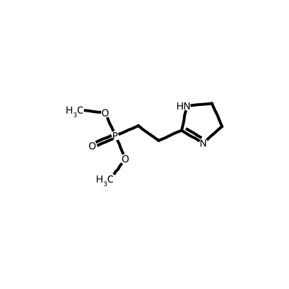 COP(=O)(CCC1=NCCN1)OC